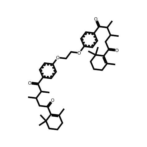 CC1=C(C(=O)CC(C)C(C)C(=O)c2ccc(OCCOc3ccc(C(=O)C(C)C(C)CC(=O)C4=C(C)CCCC4(C)C)cc3)cc2)C(C)(C)CCC1